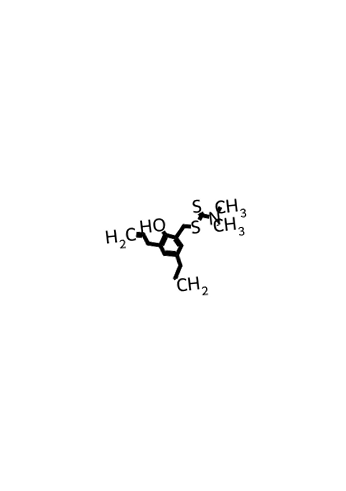 C=CCc1cc(CC=C)c(O)c(CSC(=S)N(C)C)c1